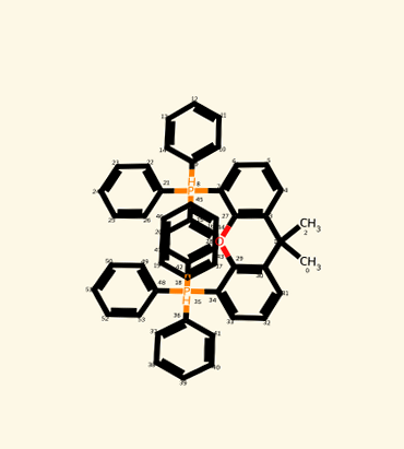 CC1(C)c2cccc([PH](c3ccccc3)(c3ccccc3)c3ccccc3)c2Oc2c1cccc2[PH](c1ccccc1)(c1ccccc1)c1ccccc1